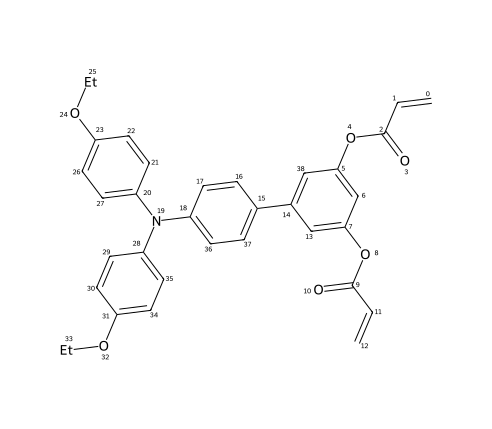 C=CC(=O)Oc1cc(OC(=O)C=C)cc(-c2ccc(N(c3ccc(OCC)cc3)c3ccc(OCC)cc3)cc2)c1